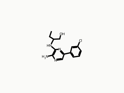 CCC(CO)Nc1nc(-c2cccc(Cl)c2)cnc1N